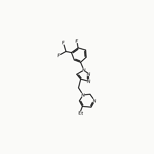 CCC1=CN(Cc2cn(-c3ccc(F)c(C(F)F)c3)nn2)CN=C1